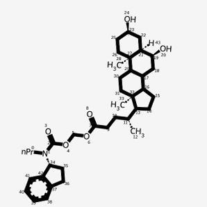 CCCN(C(=O)OCOC(=O)CC[C@@H](C)C1CCC2C3C[C@H](O)[C@@H]4C[C@H](O)CC[C@]4(C)C3CC[C@@]21C)[C@@H]1CCc2ccccc21